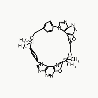 C[Si]1(C)OCc2ccc(cc2)-n2cnc3nnc4oc(nc4c32)CO[Si](C)(C)c2nc3c(nnc4ncn(c43)-c3ccc1cc3)o2